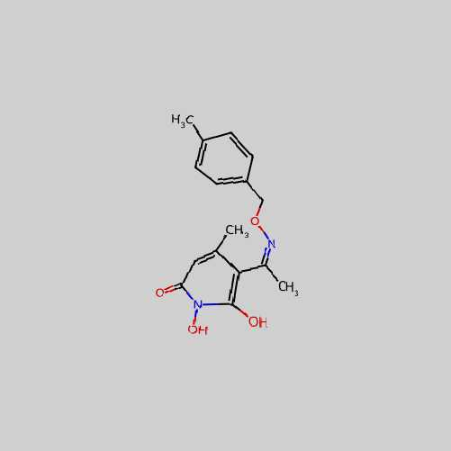 C/C(=N/OCc1ccc(C)cc1)c1c(C)cc(=O)n(O)c1O